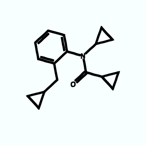 O=C(C1CC1)N(c1ccccc1CC1CC1)C1CC1